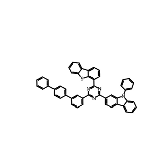 c1ccc(-c2ccc(-c3cccc(-c4nc(-c5ccc6c7ccccc7n(-c7ccccc7)c6c5)nc(-c5cccc6c5sc5ccccc56)n4)c3)cc2)cc1